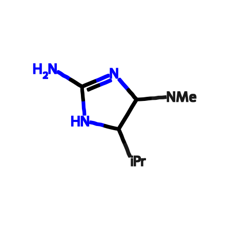 CNC1N=C(N)NC1C(C)C